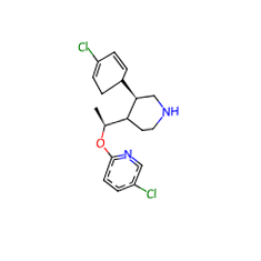 C[C@H](Oc1ccc(Cl)cn1)C1CCNC[C@@H]1C1C=CC(Cl)=CC1